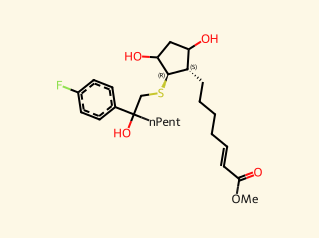 CCCCCC(O)(CS[C@H]1C(O)CC(O)[C@@H]1CCCCC=CC(=O)OC)c1ccc(F)cc1